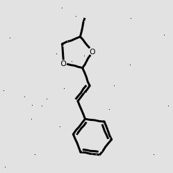 CC1COC(/C=C/c2ccccc2)O1